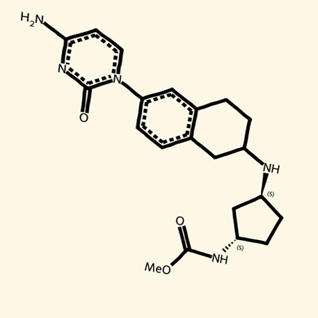 COC(=O)N[C@H]1CC[C@H](NC2CCc3cc(-n4ccc(N)nc4=O)ccc3C2)C1